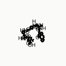 CN[C@H](C(=O)N[C@H](C(=O)N(C)[C@H](/C=C(\C)C(=O)O)C(C)C)C(C)(C)C)C(C)(C)c1cccc(NC(=O)OCc2ccc(NC(=O)[C@H](C)NC(=O)[C@@H](NC(=O)CCCCC(=O)N3Cc4ccccc4C#Cc4ccccc43)C(C)C)cc2)c1